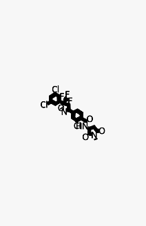 CN1C(=O)CC(NC(=O)c2ccc(C3=NOC(c4cc(Cl)cc(Cl)c4)(C(F)(F)F)C3)cc2Cl)C1=O